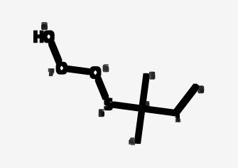 CCC(C)(C)SOOO